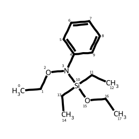 CCON(c1ccccc1)[Si](CC)(CC)OCC